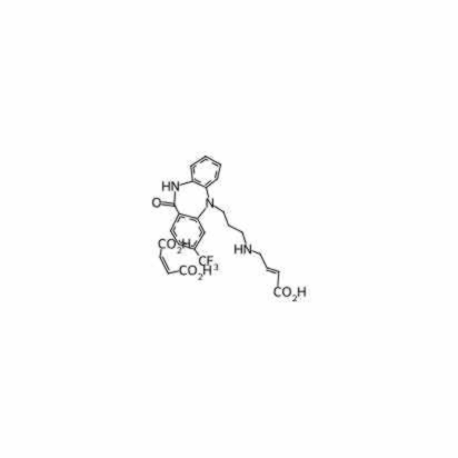 O=C(O)/C=C/CNCCCN1c2ccccc2NC(=O)c2ccc(C(F)(F)F)cc21.O=C(O)/C=C\C(=O)O